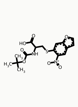 CC(C)(C)OC(=O)NC(CSc1cc2occc2cc1[N+](=O)[O-])C(=O)O